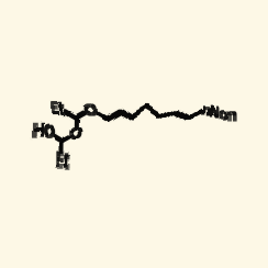 CCCCCCCCCCCCCCCCOC(CC)OC(O)CC